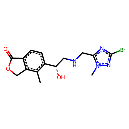 Cc1c([C@@H](O)CNCc2nc(Br)nn2C)ccc2c1COC2=O